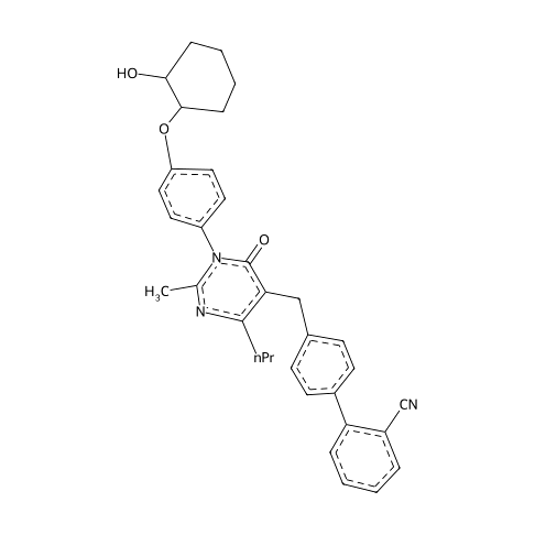 CCCc1nc(C)n(-c2ccc(OC3CCCCC3O)cc2)c(=O)c1Cc1ccc(-c2ccccc2C#N)cc1